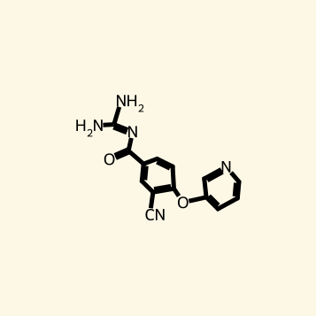 N#Cc1cc(C(=O)N=C(N)N)ccc1Oc1cccnc1